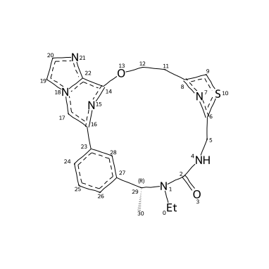 CCN1C(=O)NCc2nc(cs2)CCOc2nc(cn3ccnc23)-c2cccc(c2)[C@H]1C